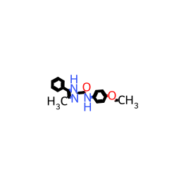 CCOc1ccc(NC(=O)c2nc(C)c(-c3ccccc3)[nH]2)cc1